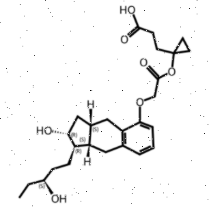 CC[C@H](O)CC[C@@H]1[C@H]2Cc3cccc(OCC(=O)OC4(CCC(=O)O)CC4)c3C[C@H]2C[C@H]1O